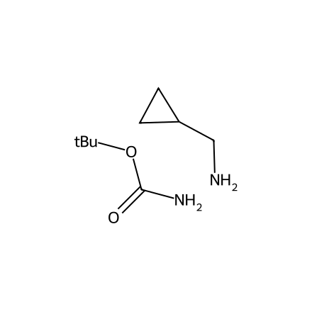 CC(C)(C)OC(N)=O.NCC1CC1